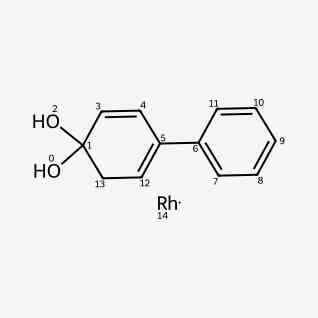 OC1(O)C=CC(c2ccccc2)=CC1.[Rh]